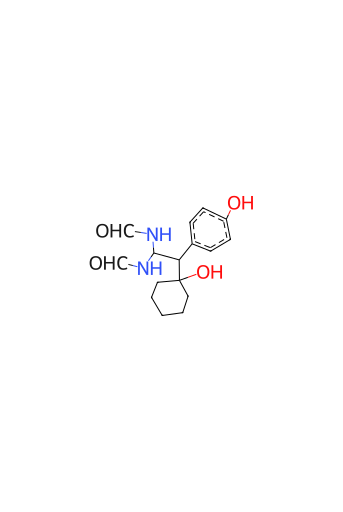 O=CNC(NC=O)C(c1ccc(O)cc1)C1(O)CCCCC1